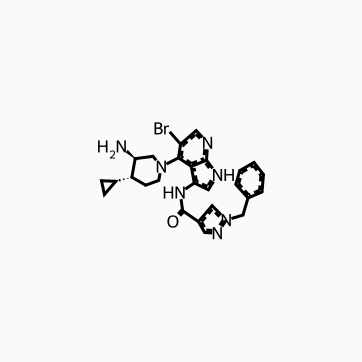 N[C@H]1CN(c2c(Br)cnc3[nH]cc(NC(=O)c4cnn(Cc5ccccc5)c4)c23)CC[C@@H]1C1CC1